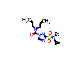 C=CCN(CC=C)C(=O)n1cnc(S(=O)(=O)N(CC)C2CC2)n1